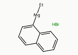 Br.C[CH2][Mg][c]1cccc2ccccc12